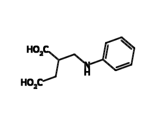 O=C(O)CC(CNc1ccccc1)C(=O)O